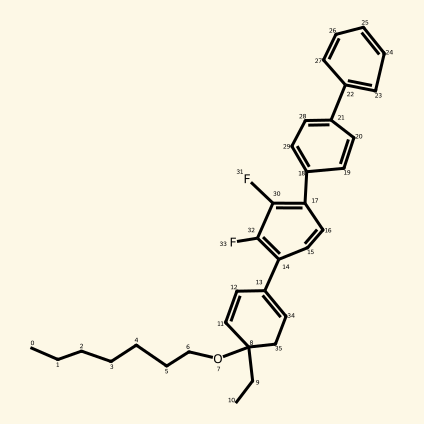 CCCCCCCOC1(CC)C=CC(c2ccc(-c3ccc(-c4ccccc4)cc3)c(F)c2F)=CC1